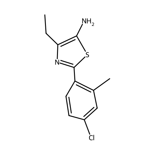 CCc1nc(-c2ccc(Cl)cc2C)sc1N